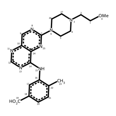 COCCN1CCN(c2ncc3ncnc(Nc4cc(C(=O)O)ccc4C)c3n2)CC1